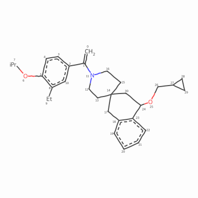 C=C(c1ccc(OC(C)C)c(CC)c1)N1CCC2(CC1)Cc1ccccc1C(OCC1CC1)C2